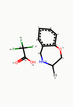 CCC1COc2ccccc2CN1.O=C(O)C(F)(F)F